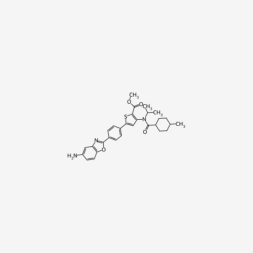 COC(=O)c1sc(-c2ccc(-c3nc4cc(N)ccc4o3)cc2)cc1N(C(=O)C1CCC(C)CC1)C(C)C